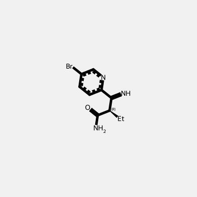 CC[C@H](C(=N)c1ccc(Br)cn1)C(N)=O